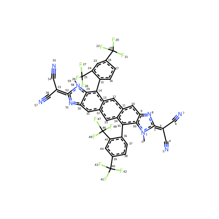 Cn1c(=C(C#N)C#N)nc2cc3cc4c(-c5ccc(C(F)(F)F)cc5C(F)(F)F)c5c(cc4cc3c(-c3ccc(C(F)(F)F)cc3C(F)(F)F)c21)nc(=C(C#N)C#N)n5C